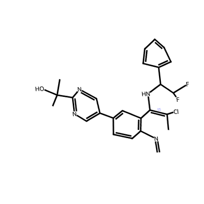 C=Nc1ccc(-c2cnc(C(C)(C)O)nc2)cc1/C(NC(c1ccccc1)C(F)F)=C(\C)Cl